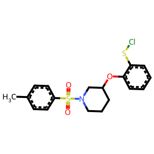 Cc1ccc(S(=O)(=O)N2CCCC(Oc3ccccc3SCl)C2)cc1